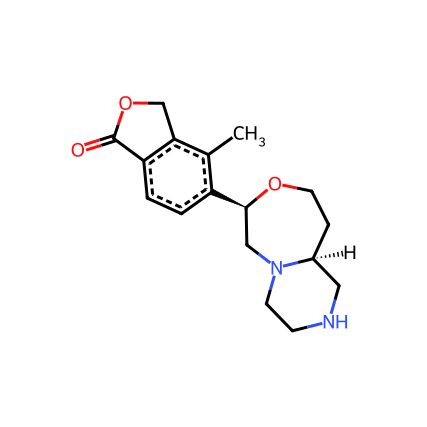 Cc1c([C@@H]2CN3CCNC[C@@H]3CCO2)ccc2c1COC2=O